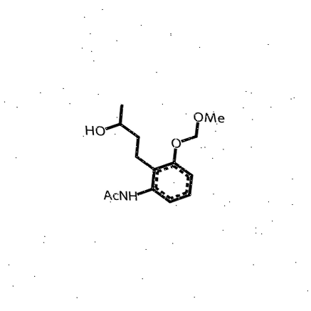 COCOc1cccc(NC(C)=O)c1CCC(C)O